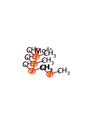 CCCCCCCCCOP(=S)([S-])OCCCCCCCCC.CCCCCCCCCOP(=S)([S-])OCCCCCCCCC.CCCCCCCCCOP(=S)([S-])OCCCCCCCCC.CCCCCCCCCOP(=S)([S-])OCCCCCCCCC.[O]=[Mo+4]